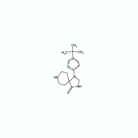 CC(C)(C)c1ccc(N2CNC(=O)C23CCNCC3)cc1